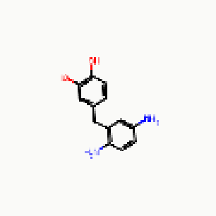 Nc1ccc(N)c(Cc2ccc(O)c(O)c2)c1